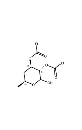 CCC(=O)O[C@@H]1C(O)O[C@@H](C)[CH][C@H]1OC(=O)CC